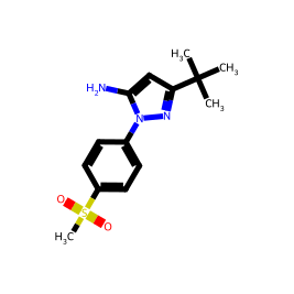 CC(C)(C)c1cc(N)n(-c2ccc(S(C)(=O)=O)cc2)n1